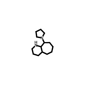 C1CCC(N2CCCC2)C2NCCCC2C1